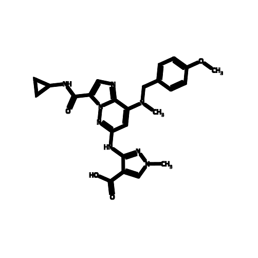 COc1ccc(CN(C)c2cc(Nc3nn(C)cc3C(=O)O)nn3c(C(=O)NC4CC4)cnc23)cc1